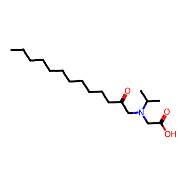 CCCCCCCCCCCC(=O)CN(CC(=O)O)C(C)C